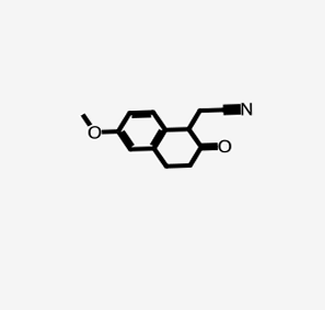 COc1ccc2c(c1)CCC(=O)C2CC#N